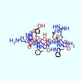 CNC(=N)NCCC[C@H](NC(=O)[C@H](CC1CC1)NC(=O)CNC(=O)[C@H](CC1CCCCC1)NC(=O)[C@@H](NC(=O)[C@H](CC(N)=O)NC(=O)[C@H](CCCCN)NC(=O)[C@@H](Cc1ccc(O)cc1)NC(C)=O)[C@@H](C)O)C(=O)N[C@@H](Cc1c[nH]c2ccccc12)C(N)=O